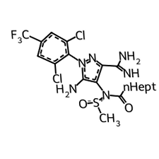 CCCCCCCC(=O)N(c1c(C(=N)N)nn(-c2c(Cl)cc(C(F)(F)F)cc2Cl)c1N)[S+](C)[O-]